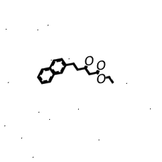 CCOC(=O)CC(=O)CCc1ccc2ccccc2c1